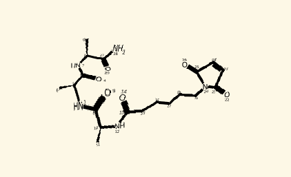 C[C@H](NC(=O)[C@H](C)NC(=O)[C@H](C)NC(=O)CCCCCN1C(=O)C=CC1=O)C(N)=O